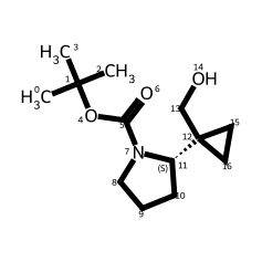 CC(C)(C)OC(=O)N1CCC[C@H]1C1(CO)CC1